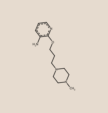 CN1CCN(CCCOc2ncccc2N)CC1